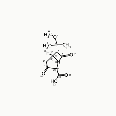 COC(C)(C)[C@@H]1C(=O)N2[C@@H](C(=O)O)C(=O)C[C@H]12